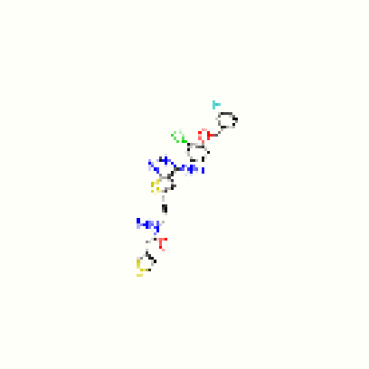 O=C(Cc1ccsc1)NCC#Cc1cc2c(Nc3ccc(OCc4cccc(F)c4)c(Cl)c3)ncnc2s1